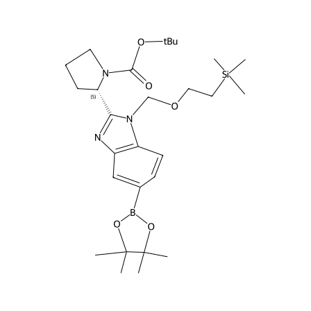 CC(C)(C)OC(=O)N1CCC[C@H]1c1nc2cc(B3OC(C)(C)C(C)(C)O3)ccc2n1COCC[Si](C)(C)C